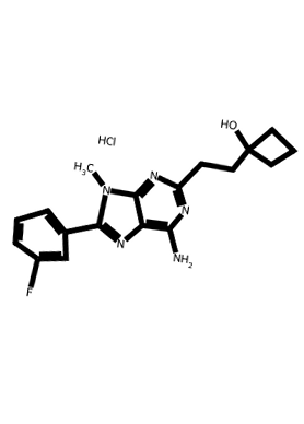 Cl.Cn1c(-c2cccc(F)c2)nc2c(N)nc(CCC3(O)CCC3)nc21